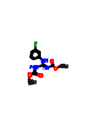 CC(C)(C)OC(=O)/N=C(/NC(=O)OC(C)(C)C)Nc1cccc(F)c1